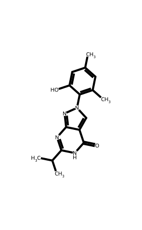 Cc1cc(C)c(-n2cc3c(=O)[nH]c(C(C)C)nc3n2)c(O)c1